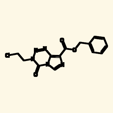 O=C(OCc1ccccc1)c1ncn2c(=O)n(CCCl)nnc12